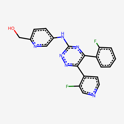 OCc1ccc(Nc2nnc(-c3ccncc3F)c(-c3ccccc3F)n2)cn1